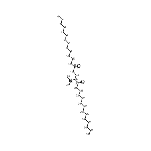 CCCCCCCCCCCCCC(=O)CCC(C(=O)CCCCCCCCCCCCC)N(C)C